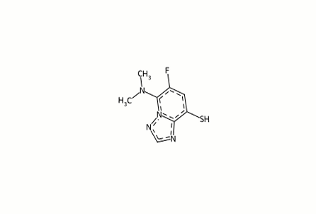 CN(C)c1c(F)cc(S)c2ncnn12